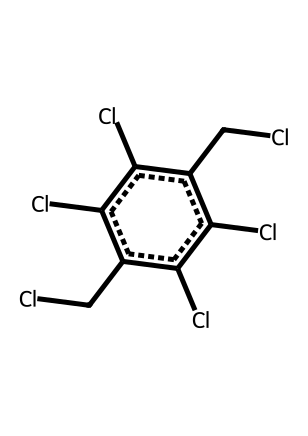 ClCc1c(Cl)c(Cl)c(CCl)c(Cl)c1Cl